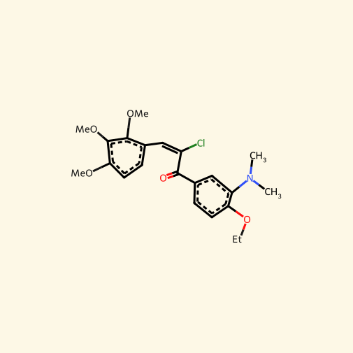 CCOc1ccc(C(=O)/C(Cl)=C\c2ccc(OC)c(OC)c2OC)cc1N(C)C